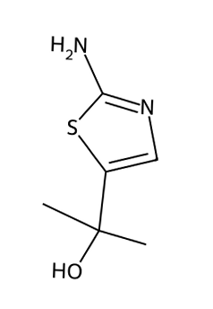 CC(C)(O)c1cnc(N)s1